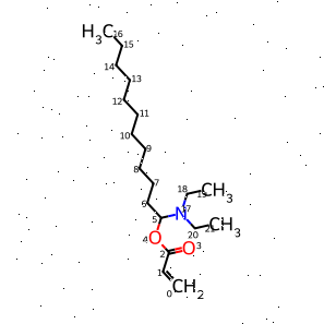 C=CC(=O)OC(CCCCCCCCCCC)N(CC)CC